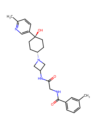 Cc1cccc(C(=O)NCC(=O)NC2CN([C@H]3CC[C@@](O)(c4ccc(C)nc4)CC3)C2)c1